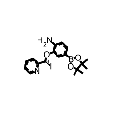 CC1(C)OB(c2ccc(N)c(O[C@@H](I)c3ccccn3)c2)OC1(C)C